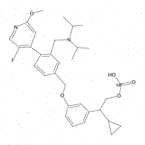 COc1cc(-c2ccc(COc3cccc(C(CO[PH](=O)O)C4CC4)c3)cc2CN(C(C)C)C(C)C)c(F)cn1